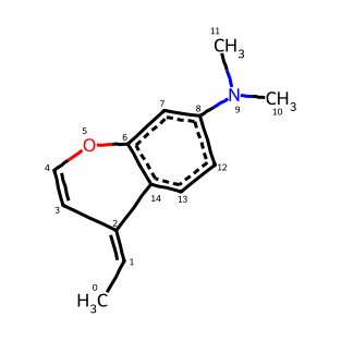 C/C=C1\C=COc2cc(N(C)C)ccc21